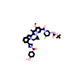 COc1cc(C(=O)N2C[C@H](F)C[C@@H](NC(=O)OC(C)(C)C)C2)cn2nc(-c3cc4cccc(C5CN(C(=O)[C@H]6CC[C@H](O)CC6)C5)c4n3CC3CC3)c(C)c12